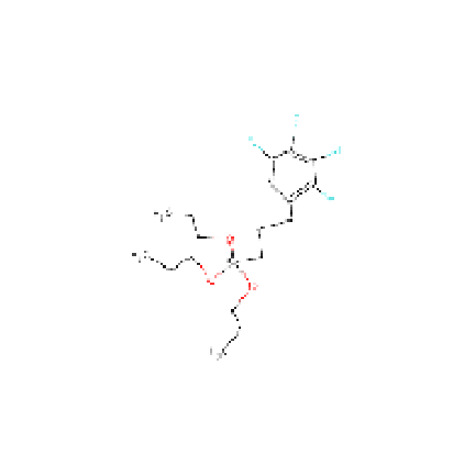 CCCO[Si](CCCc1cc(F)c(F)c(F)c1F)(OCCC)OCCC